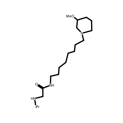 COC1CCCN(CCCCCCCCNC(=O)CNC(C)C)C1